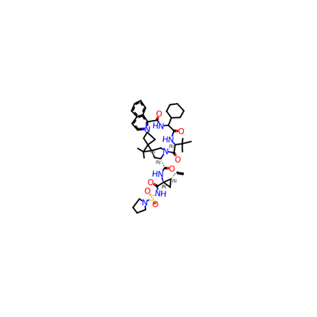 C=C[C@@H]1C[C@]1(NC(=O)[C@@H]1C[C@@]2(CN1C(=O)[C@@H](NC(=O)C(NC(=O)c1nccc3ccccc13)C1CCCCC1)C(C)(C)C)C(C)(C)C21CCC1)C(=O)NS(=O)(=O)N1CCCC1